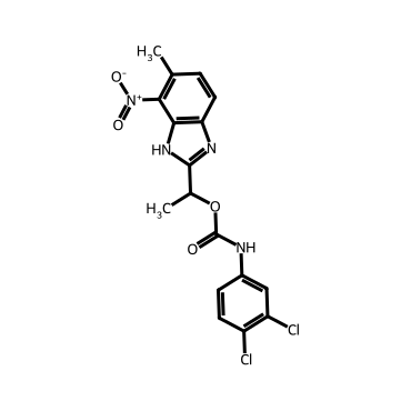 Cc1ccc2nc(C(C)OC(=O)Nc3ccc(Cl)c(Cl)c3)[nH]c2c1[N+](=O)[O-]